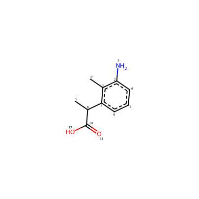 Cc1c(N)cccc1C(C)C(=O)O